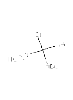 CCCCC(N)(CC)CCC.Cl